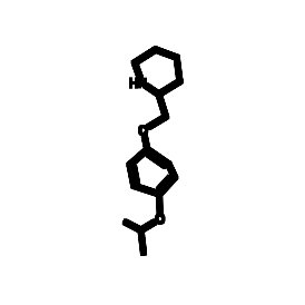 CC(C)Oc1ccc(OCC2CCCCN2)cc1